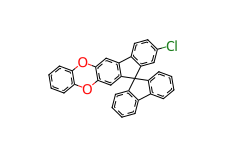 Clc1ccc2c(c1)C1(c3ccccc3-c3ccccc31)c1cc3c(cc1-2)Oc1ccccc1O3